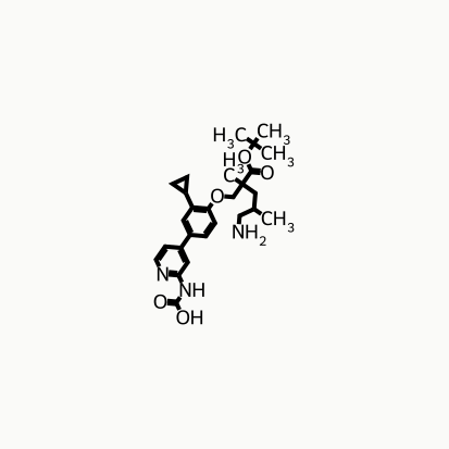 CC(CN)CC(C)(COc1ccc(-c2ccnc(NC(=O)O)c2)cc1C1CC1)C(=O)OC(C)(C)C